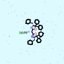 [Br-].[Br-].[Ni+2].c1ccc(C[C@H]2N=C(CC3=N[C@H](Cc4ccccc4)C(c4ccccc4)(c4ccccc4)O3)OC2(c2ccccc2)c2ccccc2)cc1